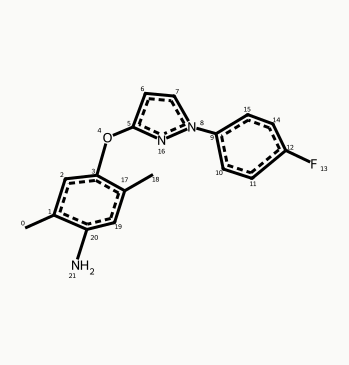 Cc1cc(Oc2ccn(-c3ccc(F)cc3)n2)c(C)cc1N